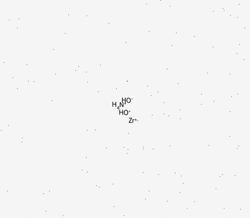 [NH4+].[OH-].[OH-].[Zr+]